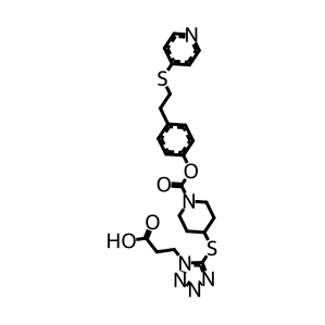 O=C(O)CCn1nnnc1SC1CCN(C(=O)Oc2ccc(CCSc3ccncc3)cc2)CC1